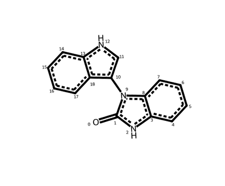 O=c1[nH]c2ccccc2n1-c1c[nH]c2ccccc12